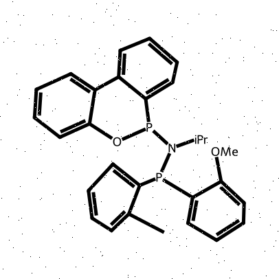 COc1ccccc1P(c1ccccc1C)N(C(C)C)P1Oc2ccccc2-c2ccccc21